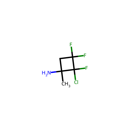 CC1(N)CC(F)(F)C1(F)Cl